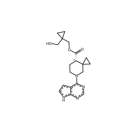 O=C(OCC1(CO)CC1)[C@H]1CCN(c2ncnc3[nH]ccc23)CC12CC2